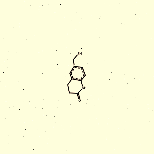 O=C1CCc2cc(CS)ccc2N1